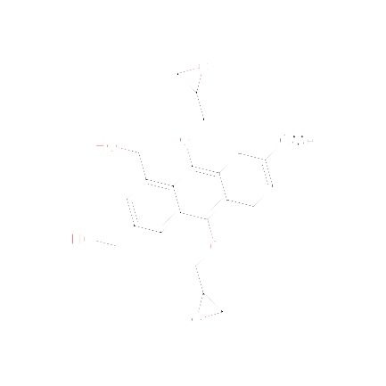 COC1=CCc2c(c(OCC3CO3)c3c(CO)cc(CO)cc3c2OCC2CO2)C1